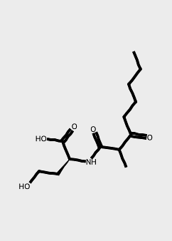 CCCCCC(=O)C(C)C(=O)N[C@@H](CCO)C(=O)O